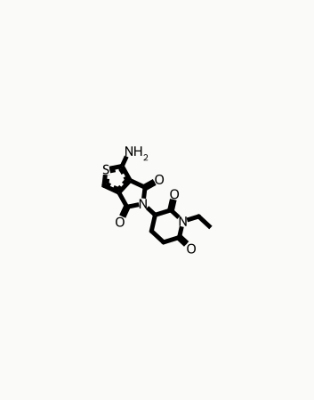 CCN1C(=O)CCC(N2C(=O)c3csc(N)c3C2=O)C1=O